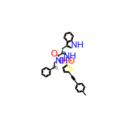 Cc1ccc(C#Cc2ccc(S(=O)(=O)N[C@H](Cc3c[nH]c4ccccc34)C(=O)NC[C@H](C)c3ccccc3)s2)cc1